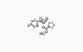 CC(C)(C)OC(=O)N1CCC[C@H]1C(=O)NNc1ccc(F)cn1